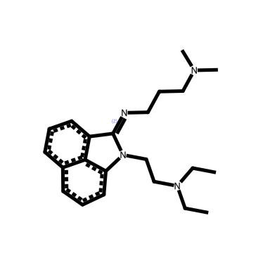 CCN(CC)CCN1/C(=N\CCCN(C)C)c2cccc3cccc1c23